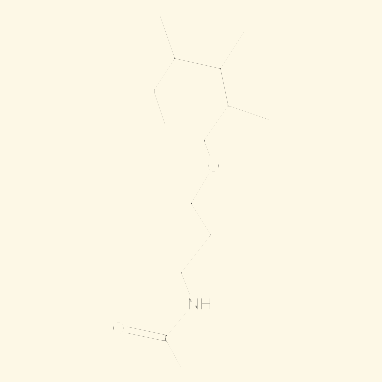 CCC(C)C(C)C(C)COCCCNC(C)=O